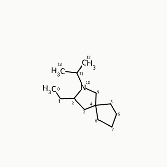 CCC1CC2(CCCC2)CN1C(C)C